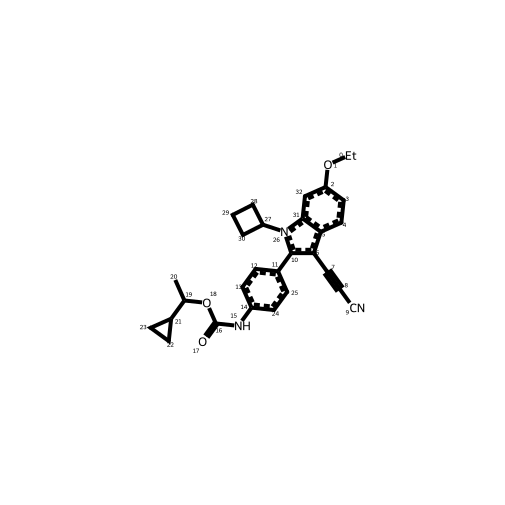 CCOc1ccc2c(C#CC#N)c(-c3ccc(NC(=O)OC(C)C4CC4)cc3)n(C3CCC3)c2c1